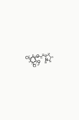 COc1c(Cl)cc(Cl)cc1OCCC1CCCN1C